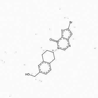 O=c1c2sc(Br)cc2ncn1[C@H]1CCc2cc(CO)ccc2C1